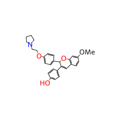 COc1ccc2c(c1)OC(c1ccc(OCCN3CCCC3)cc1)C(c1ccc(O)cc1)=C2